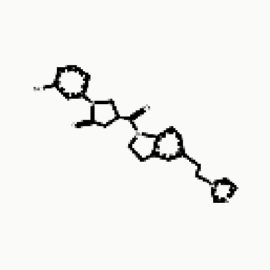 N#Cc1cccc(N2C[C@@H](C(=O)N3CCc4cc(CCn5ccnc5)ccc43)CC2=O)c1